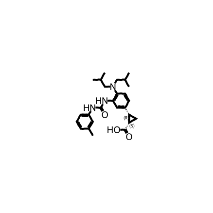 Cc1cccc(NC(=O)Nc2cc([C@@H]3C[C@@H]3C(=O)O)ccc2N(CC(C)C)CC(C)C)c1